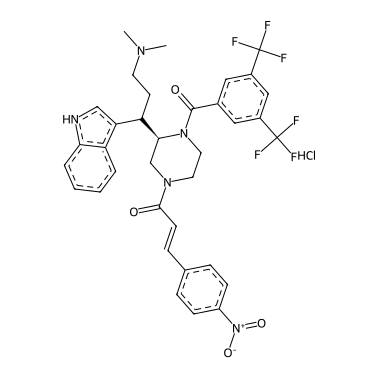 CN(C)CCC(c1c[nH]c2ccccc12)[C@@H]1CN(C(=O)C=Cc2ccc([N+](=O)[O-])cc2)CCN1C(=O)c1cc(C(F)(F)F)cc(C(F)(F)F)c1.Cl